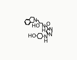 O=C(NC[C@H](O)CN1CCc2ccccc2C1)c1cc(N[C@H]2CC[C@@H](O)CC2)ncn1